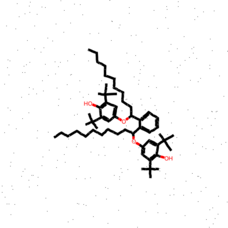 CCCCCCCCCCC(Oc1cc(C(C)(C)C)c(O)c(C(C)(C)C)c1)c1ccccc1C(CCCCCCCCCC)Oc1cc(C(C)(C)C)c(O)c(C(C)(C)C)c1